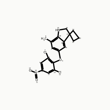 Cc1cc(Oc2c(Cl)cc([N+](=O)[O-])cc2Cl)cc2c1NCC21CCC1